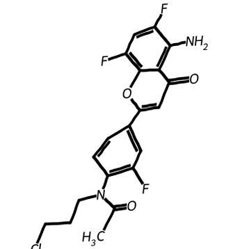 CC(=O)N(CCCCl)c1ccc(-c2cc(=O)c3c(N)c(F)cc(F)c3o2)cc1F